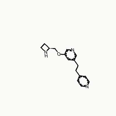 c1cc(CCc2cncc(OC[C@@H]3CCN3)c2)ccn1